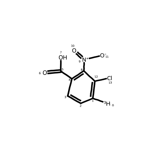 [3H]c1ccc(C(=O)O)c([N+](=O)[O-])c1Cl